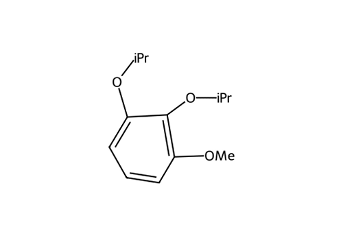 COc1cccc(OC(C)C)c1OC(C)C